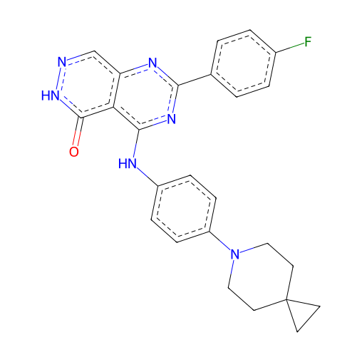 O=c1[nH]ncc2nc(-c3ccc(F)cc3)nc(Nc3ccc(N4CCC5(CC4)CC5)cc3)c12